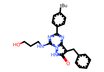 CC(C)(C)c1ccc(-c2nc(NCCCO)n3[nH]c(=O)c(Cc4ccccc4)c3n2)cc1